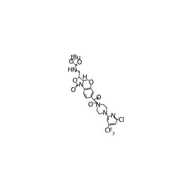 CC(C)(C)OC(=O)NC[C@@H]1OC(=O)N2c3ccc(S(=O)(=O)N4CCN(c5cc(C(F)(F)F)cc(Cl)n5)CC4)cc3OC[C@H]12